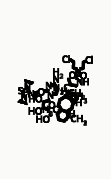 C[C@@H]1CCC[C@@]2(C)CC[C@H]3[C@H](C)CC[C@@H](C[C@H]12)C3(C)C.Nc1ccn([C@@H]2O[C@H](CO)[C@@H](O)[C@@H]2O)c(=O)n1.O=P1(N(CCCl)CCCl)NCCCO1.S=P(N1CC1)(N1CC1)N1CC1